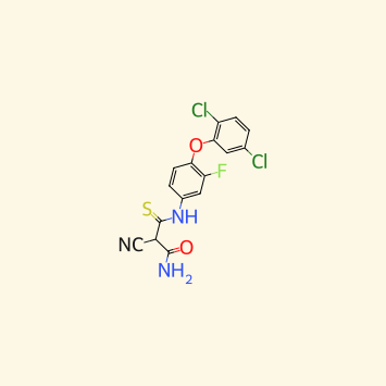 N#CC(C(N)=O)C(=S)Nc1ccc(Oc2cc(Cl)ccc2Cl)c(F)c1